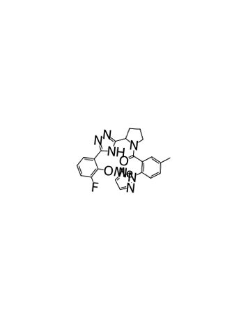 COc1c(F)cccc1-c1nnc(C2CCCN2C(=O)c2cc(C)ccc2-n2nccn2)[nH]1